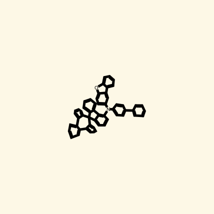 c1ccc(-c2ccc(N(c3ccc4oc5ccccc5c4c3)c3cccc4c3-c3ccccc3C43c4ccccc4-c4ccccc4-c4ccccc43)cc2)cc1